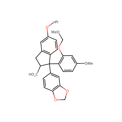 CCCOc1ccc2c(c1)CC(C(=O)O)C2(c1ccc2c(c1)OCO2)c1ccc(OC)cc1OCOC